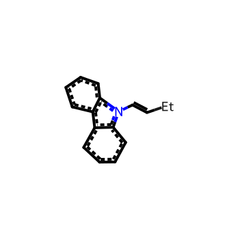 CCC=Cn1c2ccccc2c2ccccc21